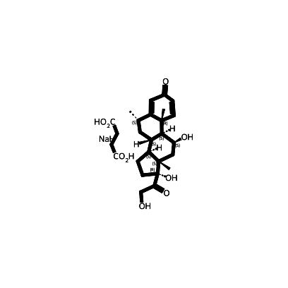 C[C@H]1C[C@@H]2[C@H]([C@@H](O)C[C@@]3(C)[C@H]2CC[C@]3(O)C(=O)CO)[C@@]2(C)C=CC(=O)C=C12.O=C(O)CCC(=O)O.[NaH]